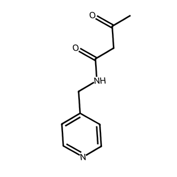 CC(=O)CC(=O)NCc1ccncc1